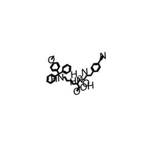 COc1ccc(C(NCCCCC(NC(=O)C(N)Cc2ccc(C#N)cc2)C(=O)O)(c2ccccc2)c2ccccc2)cc1